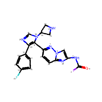 O=C(I)Nc1cn2nc(-c3c(-c4ccc(F)cc4)ncn3C3CNC3)ccc2n1